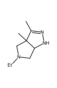 CCN1CC2NN=C(C)C2(C)C1